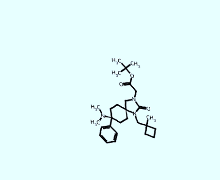 CN(C)[C@]1(c2ccccc2)CC[C@@]2(CC1)CN(CC(=O)OC(C)(C)C)C(=O)N2CC1(C)CCC1